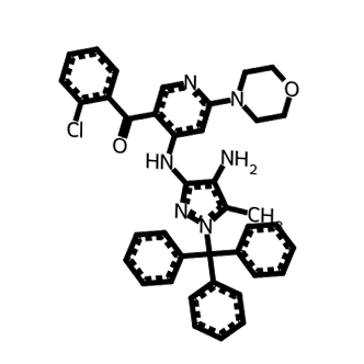 Cc1c(N)c(Nc2cc(N3CCOCC3)ncc2C(=O)c2ccccc2Cl)nn1C(c1ccccc1)(c1ccccc1)c1ccccc1